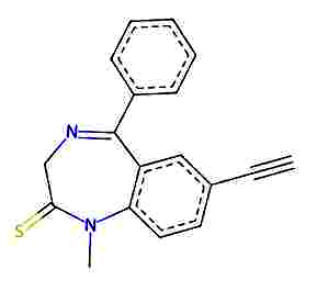 C#Cc1ccc2c(c1)C(c1ccccc1)=NCC(=S)N2C